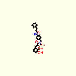 O=C(CCc1ccccc1)Nc1ccc(CN2C(=O)S/C(=C\c3cccc(O)c3O)C2=O)cc1